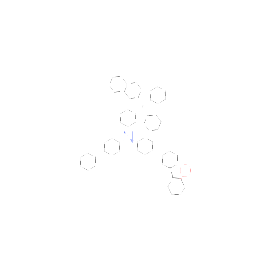 c1ccc(-c2ccc(N(c3ccc(-c4ccc5oc6ccccc6c5c4)cc3)c3ccc4c(c3)C3(c5ccccc5-c5ccccc53)c3ccc5ccccc5c3-4)cc2)cc1